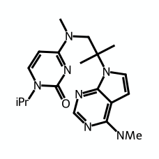 CNc1ncnc2c1ccn2C(C)(C)CN(C)c1ccn(C(C)C)c(=O)n1